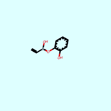 C=CB(O)Oc1ccccc1O